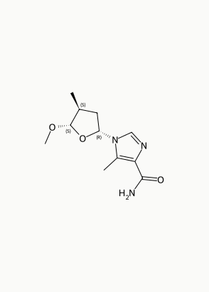 CO[C@H]1O[C@@H](n2cnc(C(N)=O)c2C)C[C@@H]1C